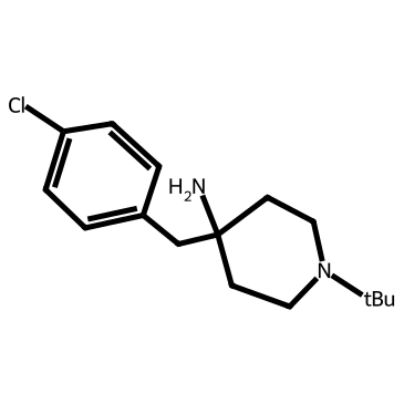 CC(C)(C)N1CCC(N)(Cc2ccc(Cl)cc2)CC1